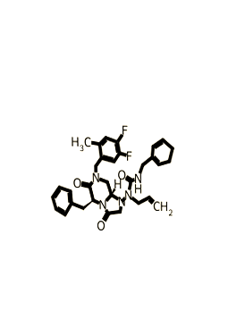 C=CCN(C(=O)NCC1=CCCC=C1)N1CC(=O)N2[C@@H](Cc3ccccc3)C(=O)N(Cc3cc(F)c(F)cc3C)C[C@@H]21